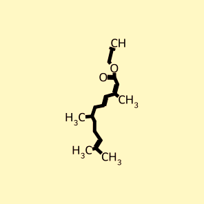 C#CCOC(=O)C=C(C)C=CCC(C)CCC=C(C)C